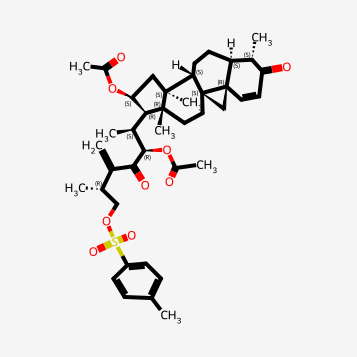 C=C(C(=O)[C@H](OC(C)=O)[C@@H](C)[C@H]1[C@@H](OC(C)=O)C[C@@]2(C)[C@@H]3CC[C@H]4[C@H](C)C(=O)C=C[C@@]45C[C@@]35CC[C@]12C)[C@@H](C)COS(=O)(=O)c1ccc(C)cc1